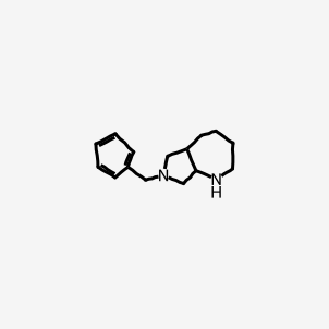 c1ccc(CN2CC3CCCCNC3C2)cc1